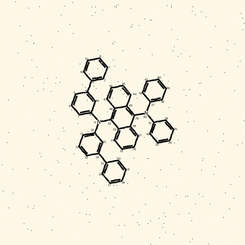 c1ccc(-c2cccc(N(c3cccc(-c4ccccc4)c3)c3c4ccccc4c(N(c4ccccc4)c4ccccc4)c4ccccc34)c2)cc1